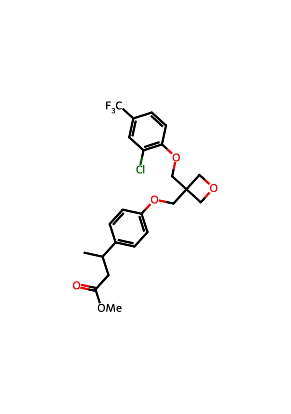 COC(=O)CC(C)c1ccc(OCC2(COc3ccc(C(F)(F)F)cc3Cl)COC2)cc1